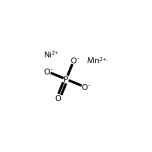 O=P([O-])([O-])[O-].[Mn+2].[Ni+2]